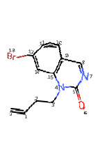 C=CCCn1c(=O)ncc2ccc(Br)cc21